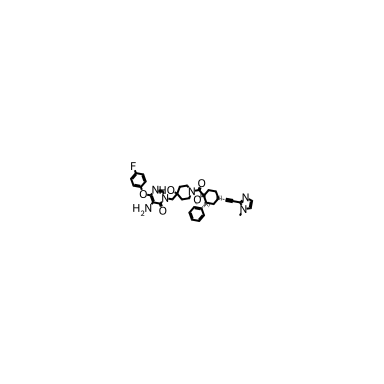 CO[C@]1(C(=O)N2CCC(O)(Cn3cnc(Oc4ccc(F)cc4)c(N)c3=O)CC2)CC[C@H](C#Cc2nccn2C)C[C@@H]1c1ccccc1